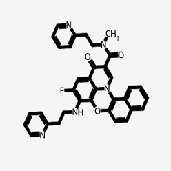 CN(CCc1ccccn1)C(=O)c1cn2c3c(c(NCCc4ccccn4)c(F)cc3c1=O)Oc1ccc3ccccc3c1-2